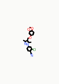 Cc1nn(-c2ccc(C#N)c(Cl)c2)c(C)c1COc1ccc2c(c1)OCO2